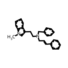 Cn1cc(CCN(CC=Cc2ccccc2)Cc2ccccc2)c2ccccc21